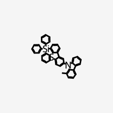 Cc1cccc2c3ccccc3n(-c3ccc4sc5c([Si](c6ccccc6)(c6ccccc6)c6ccccc6)cccc5c4c3)c12